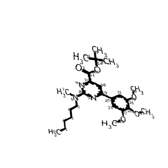 CCCCCCN(C)c1nc(C(=O)OC(C)(C)C)cc(-c2cc(OC)c(OC)c(OC)c2)n1